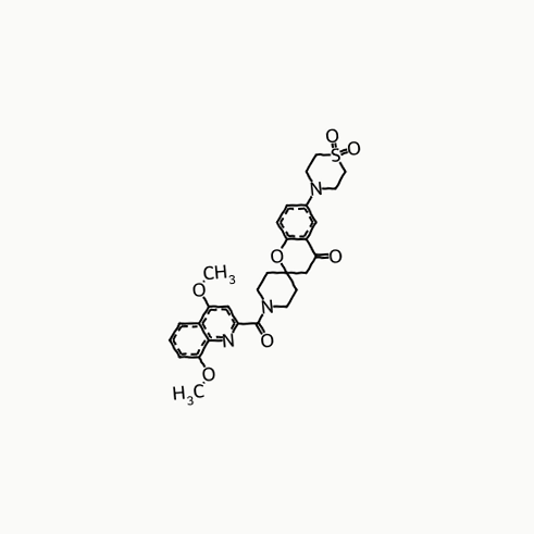 COc1cc(C(=O)N2CCC3(CC2)CC(=O)c2cc(N4CCS(=O)(=O)CC4)ccc2O3)nc2c(OC)cccc12